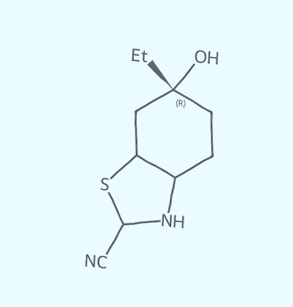 CC[C@@]1(O)CCC2NC(C#N)SC2C1